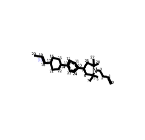 C=CCCN1C(C)(C)CC(c2ccc(C3CCC(/C=C/C)CC3)cc2)CC1(C)C